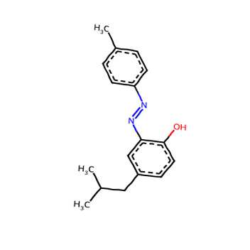 Cc1ccc(/N=N/c2cc(CC(C)C)ccc2O)cc1